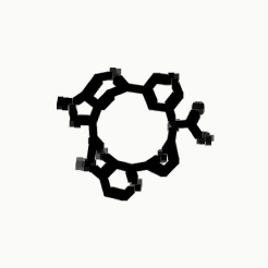 CC(C)C(=O)n1c2cncc(c2)c2cc3c(cn2)[nH]nc3c2nc3c(ccnc3c3ccc1s3)[nH]2